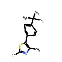 Cc1nc(C)c(-c2ccc(C(C)(C)C)cc2)s1